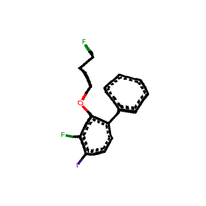 FCCCOc1c(-c2ccccc2)ccc(I)c1F